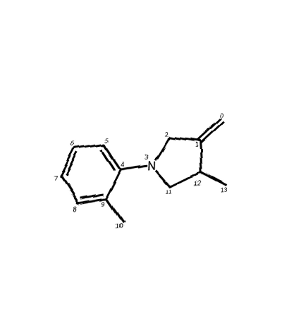 C=C1CN(c2ccccc2C)CC1C